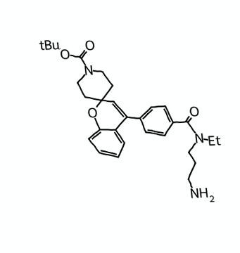 CCN(CCCN)C(=O)c1ccc(C2=CC3(CCN(C(=O)OC(C)(C)C)CC3)Oc3ccccc32)cc1